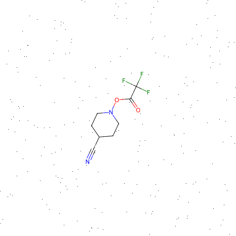 N#CC1CCN(OC(=O)C(F)(F)F)CC1